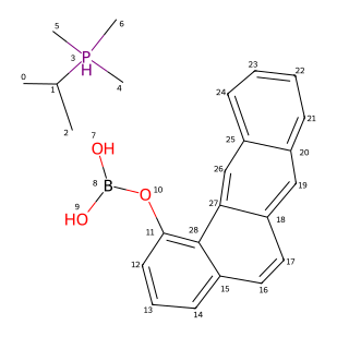 CC(C)[PH](C)(C)C.OB(O)Oc1cccc2ccc3cc4ccccc4cc3c12